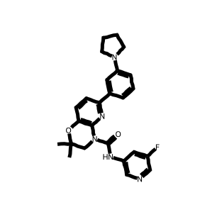 CC1(C)CN(C(=O)Nc2cncc(F)c2)c2nc(-c3cccc(N4CCCC4)c3)ccc2O1